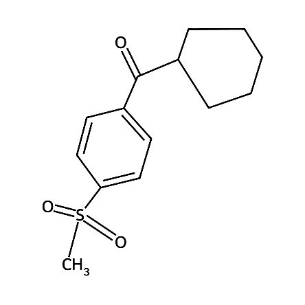 CS(=O)(=O)c1ccc(C(=O)C2CCCCC2)cc1